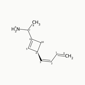 C=C/C=C\[C@H]1C=C(C(C)N)C1